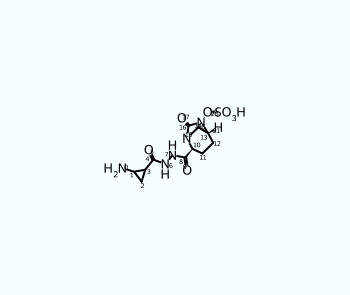 NC1CC1C(=O)NNC(=O)[C@@H]1CC[C@@H]2CN1C(=O)N2OS(=O)(=O)O